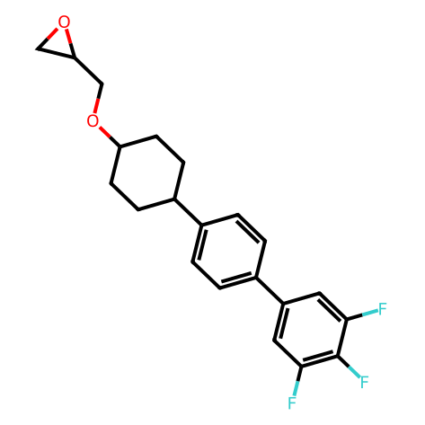 Fc1cc(-c2ccc(C3CCC(OCC4CO4)CC3)cc2)cc(F)c1F